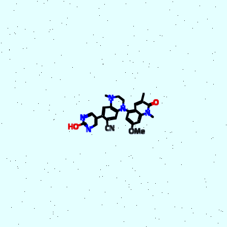 COc1cc(N2CCN(C)c3cc(-c4cnc(O)nc4)c(C#N)cc32)c2cc(C)c(=O)n(C)c2c1